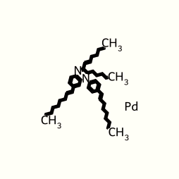 CCCCCC=CC(=Nc1ccc(C=CCCCCCCC)cc1)C(CCCCC)=Nc1ccc(C=CCCCCCCC)cc1.[Pd]